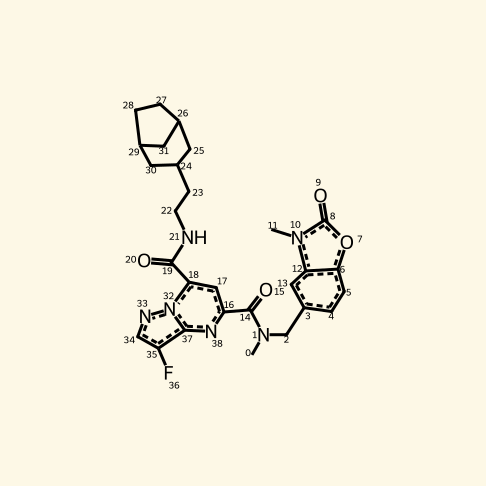 CN(Cc1ccc2oc(=O)n(C)c2c1)C(=O)c1cc(C(=O)NCCC2CC3CCC(C2)C3)n2ncc(F)c2n1